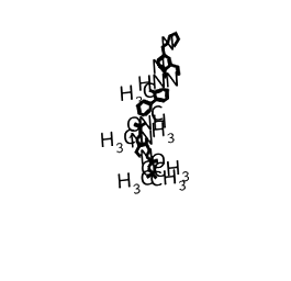 Cc1c(NC(=O)c2nc3c(n2C)CCN(C(=O)OC(C)(C)C)C3)cccc1-c1cccc(Nc2nccc3cc(CN4CCCC4)cnc23)c1C